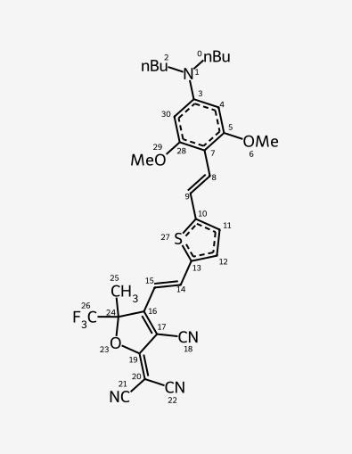 CCCCN(CCCC)c1cc(OC)c(C=Cc2ccc(C=CC3=C(C#N)C(=C(C#N)C#N)OC3(C)C(F)(F)F)s2)c(OC)c1